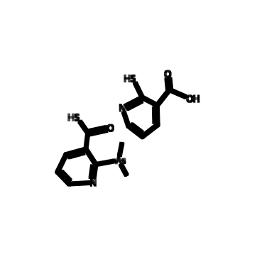 C[As](C)c1ncccc1C(=O)S.O=C(O)c1cccnc1S